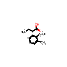 CCCC(=O)O.Cc1ccccc1S(=O)(=O)O